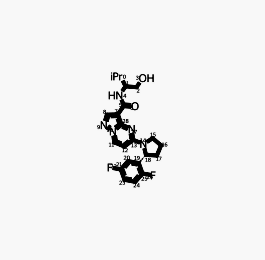 CC(C)C(CO)NC(=O)c1cnn2ccc(N3CCC[C@@H]3c3cc(F)ccc3F)nc12